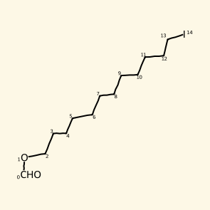 O=COCCCCCCCCCCCCI